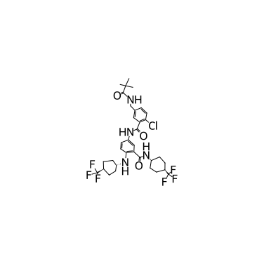 CC(C)(C)C(=O)NCc1ccc(Cl)c(C(=O)Nc2ccc(N[C@H]3CC[C@H](C(F)(F)F)CC3)c(C(=O)N[C@H]3CC[C@H](C(F)(F)F)CC3)c2)c1